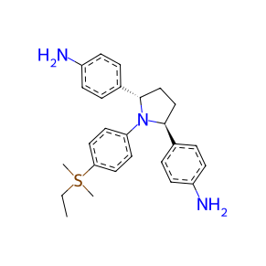 CCS(C)(C)c1ccc(N2[C@H](c3ccc(N)cc3)CC[C@H]2c2ccc(N)cc2)cc1